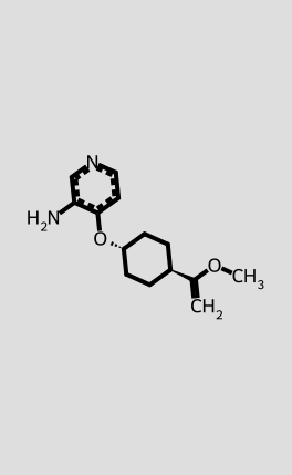 C=C(OC)[C@H]1CC[C@H](Oc2ccncc2N)CC1